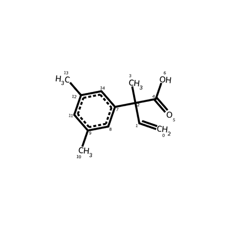 C=CC(C)(C(=O)O)c1cc(C)cc(C)c1